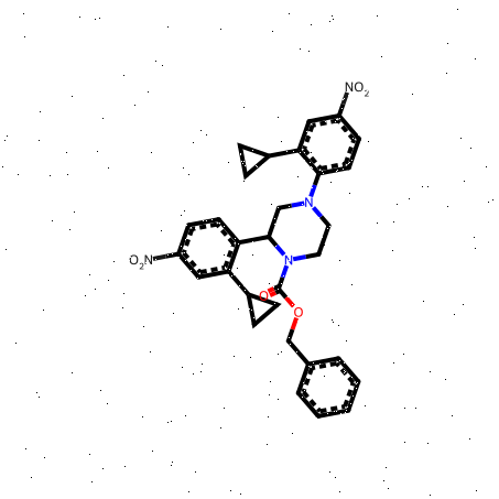 O=C(OCc1ccccc1)N1CCN(c2ccc([N+](=O)[O-])cc2C2CC2)CC1c1ccc([N+](=O)[O-])cc1C1CC1